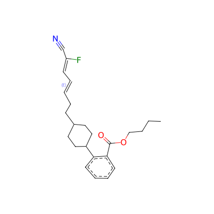 CCCCOC(=O)c1ccccc1C1CCC(CC/C=C/C=C(F)C#N)CC1